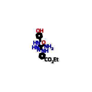 CCOC(=O)c1cccc(Nc2n[nH]c(NCc3ccc(O)cc3)c2C(N)=O)c1